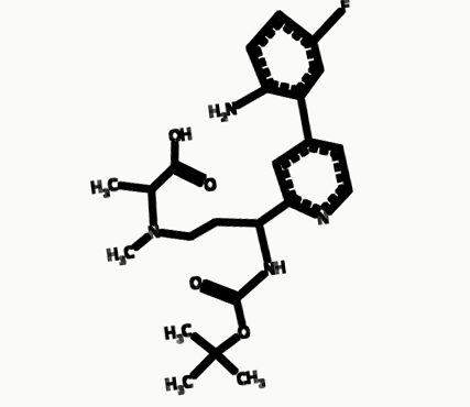 CC(C(=O)O)N(C)CCC(NC(=O)OC(C)(C)C)c1cc(-c2cc(F)ccc2N)ccn1